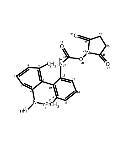 CCCN(CCC)c1cccc(C)c1-c1c(C)cccc1NC(=O)ON1C(=O)CCC1=O